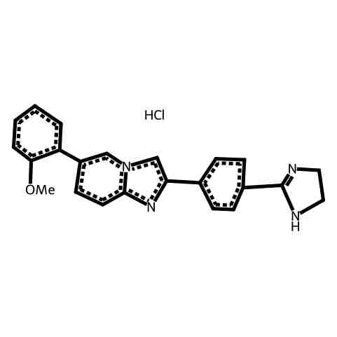 COc1ccccc1-c1ccc2nc(-c3ccc(C4=NCCN4)cc3)cn2c1.Cl